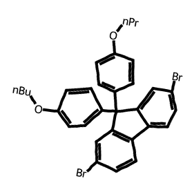 CCCCOc1ccc(C2(c3ccc(OCCC)cc3)c3cc(Br)ccc3-c3ccc(Br)cc32)cc1